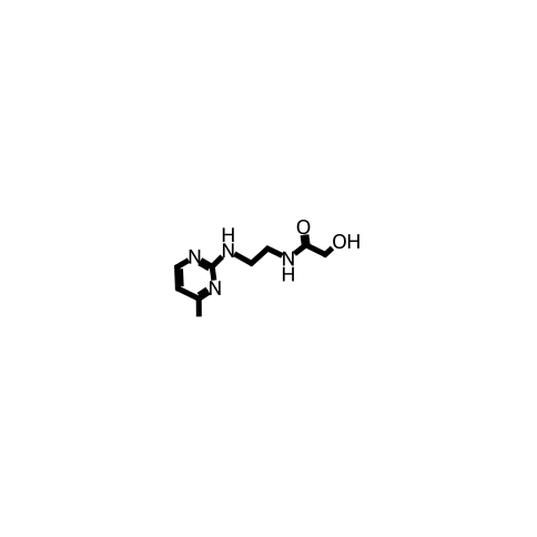 Cc1ccnc(NCCNC(=O)CO)n1